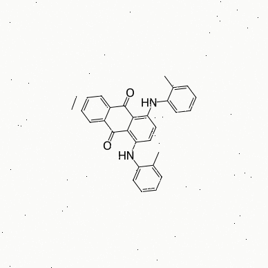 CC.Cc1ccccc1Nc1ccc(Nc2ccccc2C)c2c1C(=O)c1ccccc1C2=O